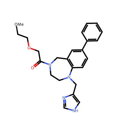 COCCOCC(=O)N1CCN(Cc2c[nH]cn2)c2ccc(-c3ccccc3)cc2C1